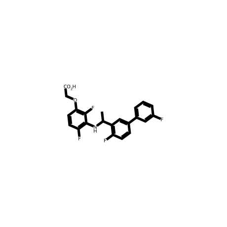 CC(Nc1c(F)ccc(OCC(=O)O)c1F)c1cc(-c2cccc(F)c2)ccc1F